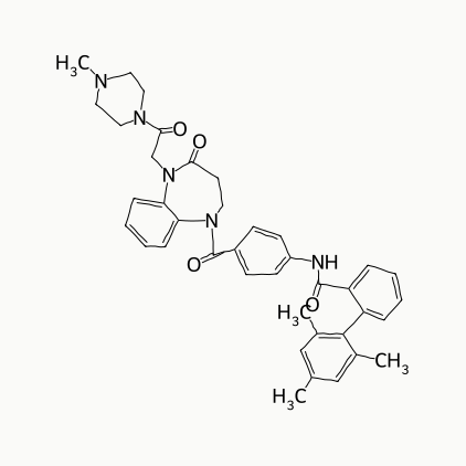 Cc1cc(C)c(-c2ccccc2C(=O)Nc2ccc(C(=O)N3CCC(=O)N(CC(=O)N4CCN(C)CC4)c4ccccc43)cc2)c(C)c1